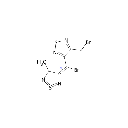 CC1N=S=N/C1=C(\Br)c1nsnc1CBr